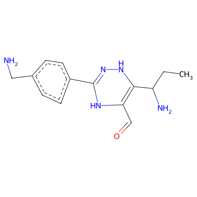 CCC(N)C1=C(C=O)NC(c2ccc(CN)cc2)=NN1